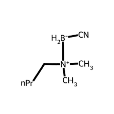 CCCC[N+](C)(C)[BH2-]C#N